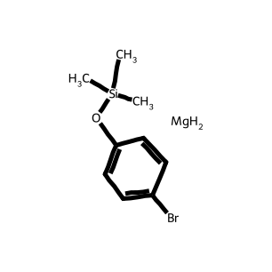 C[Si](C)(C)Oc1ccc(Br)cc1.[MgH2]